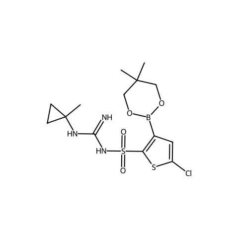 CC1(C)COB(c2cc(Cl)sc2S(=O)(=O)NC(=N)NC2(C)CC2)OC1